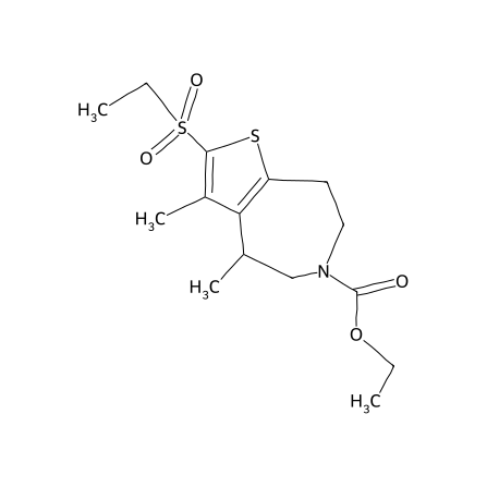 CCOC(=O)N1CCc2sc(S(=O)(=O)CC)c(C)c2C(C)C1